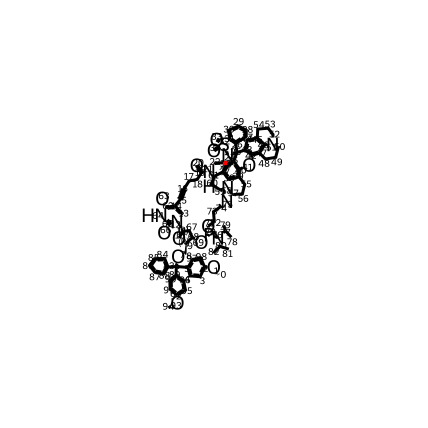 COc1ccc(C(OC[C@H]2O[C@@H](n3cc(C#CCCC(=O)NCCN4C5(c6ccccc6S4(=O)=O)c4cc6c7c(c4Oc4c5cc5c8c4CCCN8CCC5)CCCN7CCC6)c(=O)[nH]c3=O)CC2OP(OCCC#N)N(C(C)C)C(C)C)(c2ccccc2)c2ccc(OC)cc2)cc1